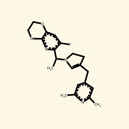 Cc1cc(CC2=CN(C(C)c3nc4c(cc3F)OCCO4)CC2)cc(C)n1